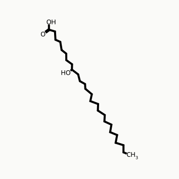 CCCCCCCCCCCCCCCCCC(O)CCCCCCCC(=O)O